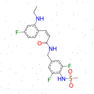 CCNc1cc(F)ccc1/C=C\C(=O)NCc1cc(F)c(NS(C)(=O)=O)c(F)c1